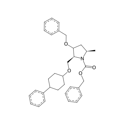 C[C@@H]1CC(OCc2ccccc2)[C@H](COC2CCC(c3ccccc3)CC2)N1C(=O)OCc1ccccc1